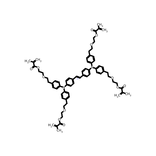 C=C(C)C(=O)OCCOCCc1ccc(N(c2ccc(/C=C/c3ccc(N(c4ccc(CCOCCOC(=O)C(=C)C)cc4)c4ccc(CCOCCOC(=O)C(=C)C)cc4)cc3)cc2)c2ccc(CCOCCOC(=O)C(=C)C)cc2)cc1